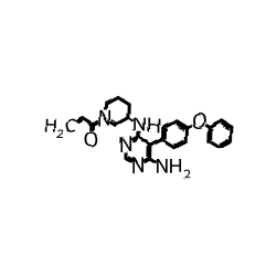 C=CC(=O)N1CCC[C@@H](Nc2ncnc(N)c2-c2ccc(Oc3ccccc3)cc2)C1